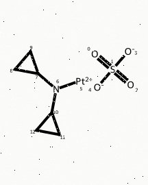 O=S(=O)([O-])[O-].[Pt+2][N](C1CC1)C1CC1